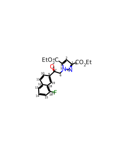 CCOC(=O)c1cc(C(=O)OCC)n(CC(=O)c2ccc3cccc(F)c3c2)n1